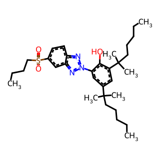 CCCCCC(C)(C)c1cc(-n2nc3ccc(S(=O)(=O)CCCC)cc3n2)c(O)c(C(C)(C)CCCCC)c1